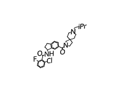 CC(C)CN1CCC2(CC1)CCN(C(=O)c1ccc3c(c1)C(NC(=O)c1c(F)cccc1Cl)CC3)C2